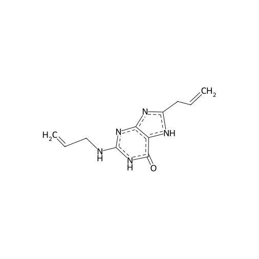 C=CCNc1nc2nc(CC=C)[nH]c2c(=O)[nH]1